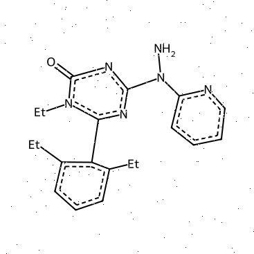 CCc1cccc(CC)c1-c1nc(N(N)c2ccccn2)nc(=O)n1CC